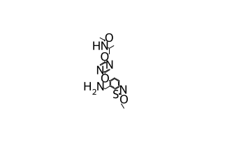 CCOc1nc2ccc(Oc3cnc(OCC(C)NC(C)=O)cn3)c(CN)c2s1